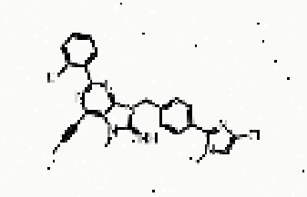 CC#Cc1nc(-c2ccccc2Cl)nc2c1n(C)c(=N)n2Cc1ccc(-c2nc(Cl)cn2C)cc1